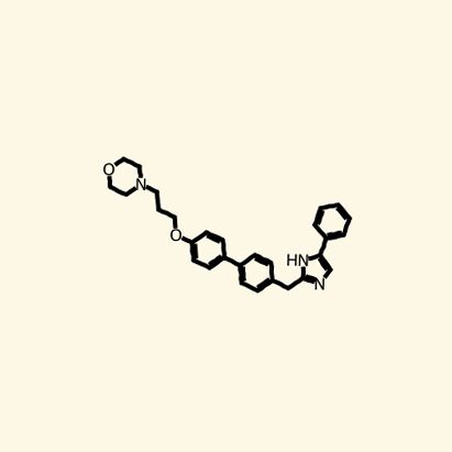 c1ccc(-c2cnc(Cc3ccc(-c4ccc(OCCCN5CCOCC5)cc4)cc3)[nH]2)cc1